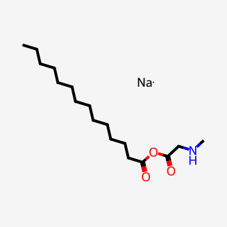 CCCCCCCCCCCCCC(=O)OC(=O)CNC.[Na]